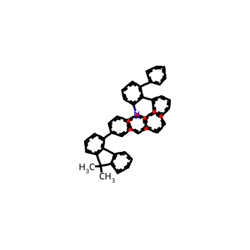 CC1(C)c2ccccc2-c2c(-c3ccc(N(c4ccccc4)c4cccc(-c5ccccc5)c4-c4ccccc4-c4ccccc4)cc3)cccc21